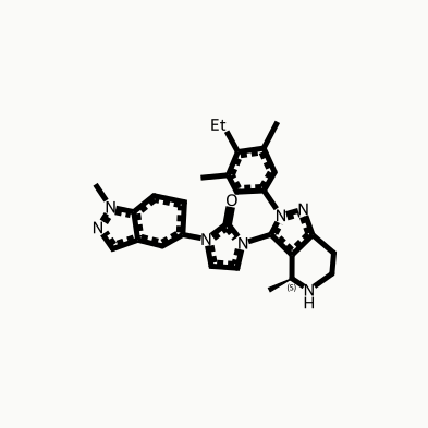 CCc1c(C)cc(-n2nc3c(c2-n2ccn(-c4ccc5c(cnn5C)c4)c2=O)[C@H](C)NCC3)cc1C